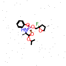 CC(C)OC(=O)[C@@H](C)N[P@](=S)(OC[C@]1(F)C[C@H](C)CO1)Oc1ccccc1